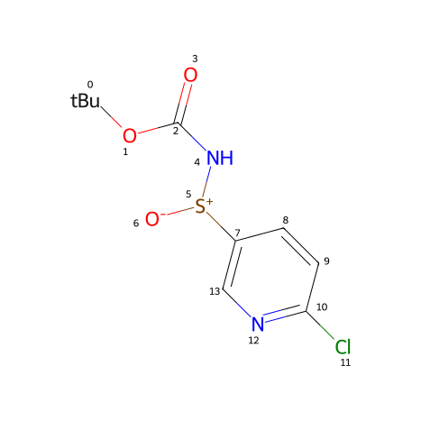 CC(C)(C)OC(=O)N[S+]([O-])c1ccc(Cl)nc1